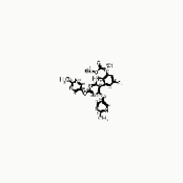 CCN(C(=O)OC(C)(C)C)c1cc(F)cc2c1[nH]c1nc(Oc3cnc(C)nc3)nc(Oc3cnc(C)nc3)c12